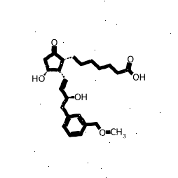 COCc1cccc(C[C@H](O)/C=C/[C@@H]2[C@H](O)CC(=O)[C@@H]2CCCCCCC(=O)O)c1